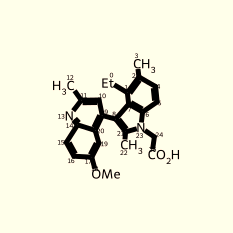 CCc1c(C)ccc2c1c(-c1cc(C)nc3ccc(OC)cc13)c(C)n2CC(=O)O